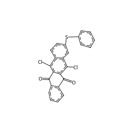 O=C1c2ccccc2C(=O)c2c1c(Cl)c1ccc(Sc3ccccc3)cc1c2Cl